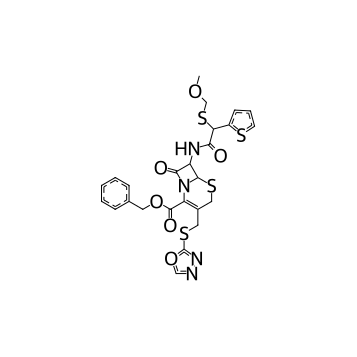 COCSC(C(=O)NC1C(=O)N2C(C(=O)OCc3ccccc3)=C(CSc3nnco3)CSC12)c1cccs1